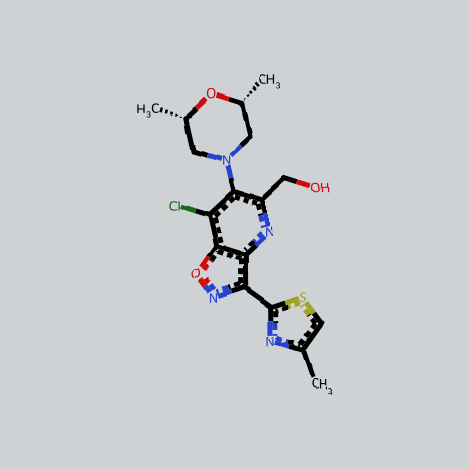 Cc1csc(-c2noc3c(Cl)c(N4C[C@@H](C)O[C@@H](C)C4)c(CO)nc23)n1